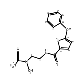 NC(=O)N(O)CCNC(=O)c1ccc(Oc2ccccc2)o1